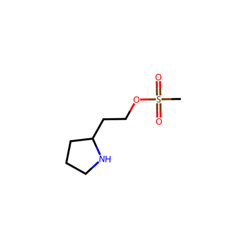 CS(=O)(=O)OCCC1CCCN1